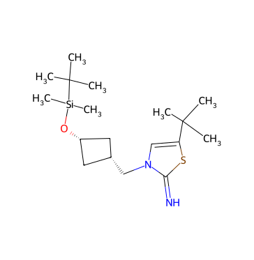 CC(C)(C)c1cn(C[C@H]2C[C@@H](O[Si](C)(C)C(C)(C)C)C2)c(=N)s1